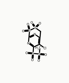 [CH2]S(=O)(=O)S(=O)(=O)C1=[N+]C2=NC(=C1Cl)CS(=O)(=O)S2(=O)=O